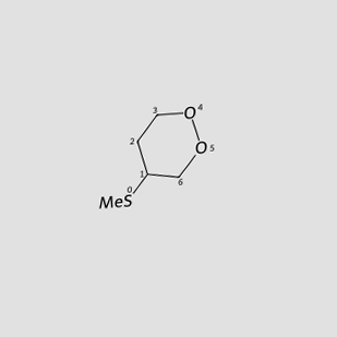 CSC1CCOOC1